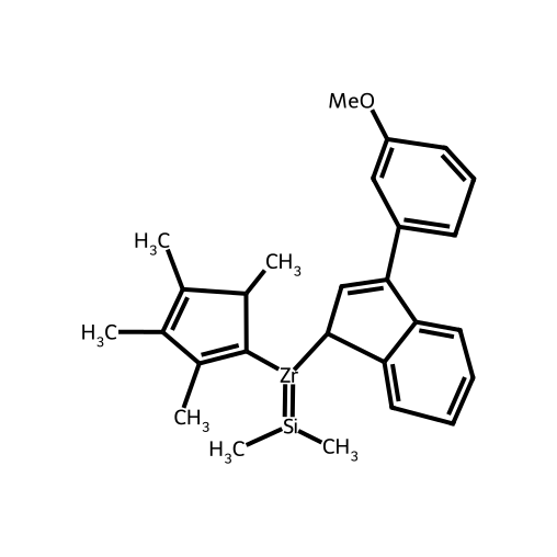 COc1cccc(C2=C[CH]([Zr]([C]3=C(C)C(C)=C(C)C3C)=[Si](C)C)c3ccccc32)c1